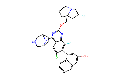 Oc1cc(-c2c(Cl)cc3c(N4C5CCC4CNC5)nc(OC[C@@]45CCCN4C[C@H](F)C5)nc3c2F)c2ccccc2c1